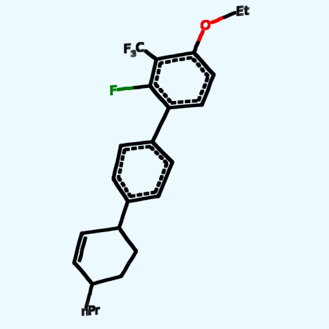 CCCC1C=CC(c2ccc(-c3ccc(OCC)c(C(F)(F)F)c3F)cc2)CC1